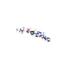 CC(=O)NC[C@H]1CN(c2cc(F)c(N3CCN(C(=O)[C@H](CC#N)NC(=O)c4cn5ccncc5n4)CC3)c(F)c2)C(=O)O1